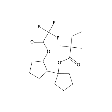 CCC(C)(C)C(=O)OC1(C2CCCC2OC(=O)C(F)(F)F)CCCC1